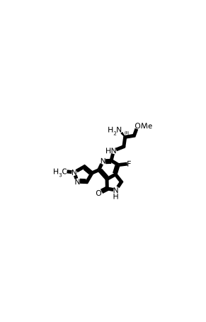 COC[C@H](N)CNc1nc(-c2cnn(C)c2)c2c(c1F)CNC2=O